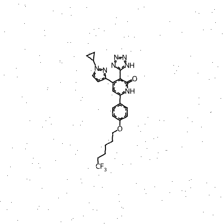 O=c1[nH]c(-c2ccc(OCCCCCC(F)(F)F)cc2)cc(-c2ccn(C3CC3)n2)c1-c1nnn[nH]1